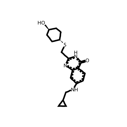 O=c1[nH]c(CS[C@H]2CC[C@H](O)CC2)nc2cc(NCC3CC3)ccc12